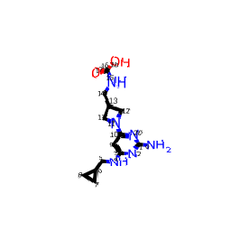 Nc1nc(NCC2CC2)cc(N2CC(CNC(=O)O)C2)n1